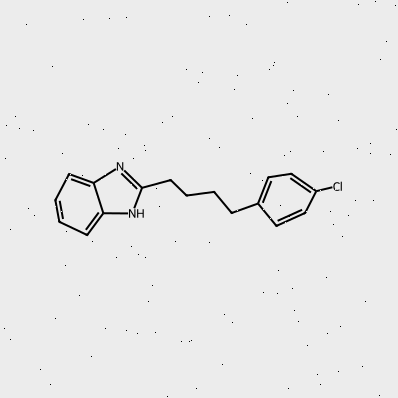 Clc1ccc(CCCCc2nc3ccccc3[nH]2)cc1